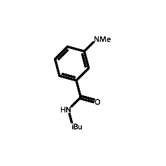 CCC(C)NC(=O)c1cccc(NC)c1